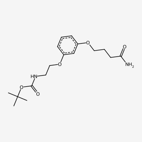 CC(C)(C)OC(=O)NCCOc1cccc(OCCCC(N)=O)c1